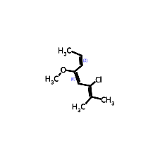 C/C=C\C(=C/C(Cl)=C(C)C)OC